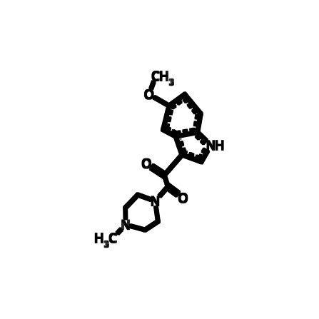 COc1ccc2[nH]cc(C(=O)C(=O)N3CCN(C)CC3)c2c1